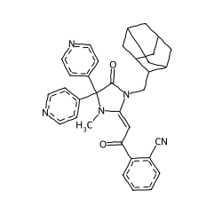 CN1C(=CC(=O)c2ccccc2C#N)N(CC2C3CC4CC(C3)CC2C4)C(=O)C1(c1ccncc1)c1ccncc1